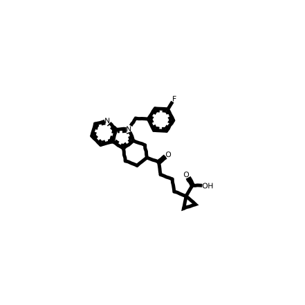 O=C(CCCC1(C(=O)O)CC1)C1CCc2c(n(Cc3cccc(F)c3)c3ncccc23)C1